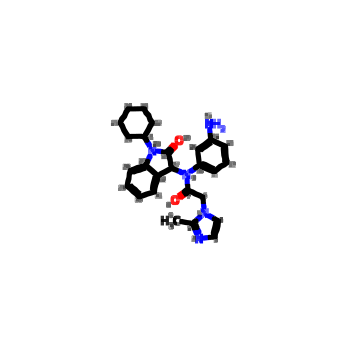 Cc1nccn1CC(=O)N(c1cccc(N)c1)C1C(=O)N(C2CCCCC2)c2ccccc21